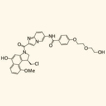 COc1cccc2c(O)cc3c(c12)[C@H](CCl)CN3C(=O)c1cn2cc(NC(=O)c3ccc(OCCOCCO)cc3)ccc2n1